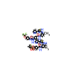 Cc1ccc(NC(=O)c2ccc(NC(=O)Nc3ccc(OC(F)F)cc3)cc2)cc1Nc1nc(-c2cccnc2)cs1.Cc1ccc(NC(=O)c2ccc(OS(=O)(=O)c3cccs3)cc2)cc1Nc1nc(-c2cccnc2)cs1